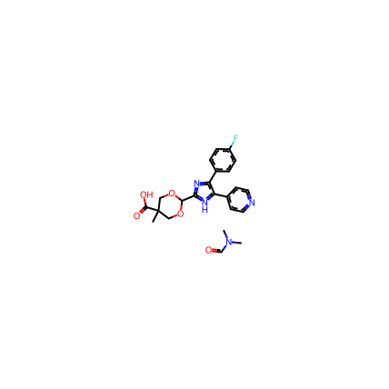 CC1(C(=O)O)COC(c2nc(-c3ccc(F)cc3)c(-c3ccncc3)[nH]2)OC1.CN(C)C=O